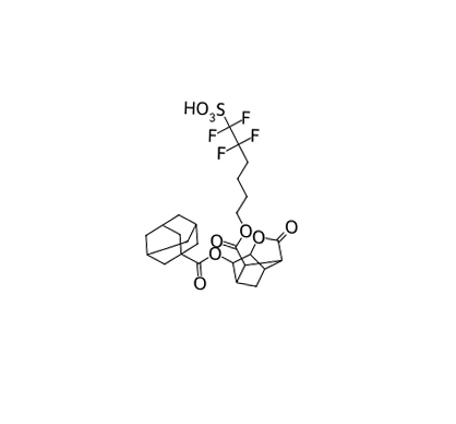 O=C1OC2C3CC(C2OC(=O)C24CC5CC(CC(C5)C2)C4)C(C(=O)OCCCCC(F)(F)C(F)(F)S(=O)(=O)O)C13